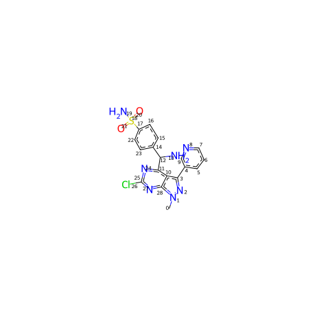 Cn1nc(-c2cccnc2)c2c(C(N)c3ccc(S(N)(=O)=O)cc3)nc(Cl)nc21